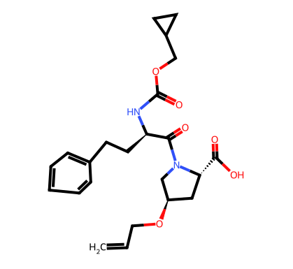 C=CCO[C@@H]1C[C@@H](C(=O)O)N(C(=O)[C@@H](CCc2ccccc2)NC(=O)OCC2CC2)C1